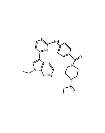 CCC(=O)N1CCN(C(=O)c2ccc(Nc3nccc(-c4cn(CC)c5cnccc45)n3)cc2)CC1